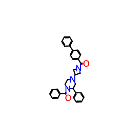 O=C(c1ccc(-c2ccccc2)cc1)N1CC(N2CCN(C(=O)c3ccccc3)C(c3ccccc3)C2)C1